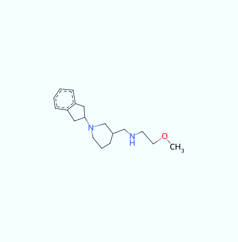 COCCNCC1CCCN(C2Cc3ccccc3C2)C1